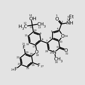 CCNC(=O)c1cc2c(-c3cc(C(C)(C)O)ccc3Oc3c(F)cc(F)cc3F)cn(C)c(=O)c2o1